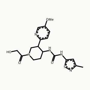 COc1ccc(C2CN(C(=O)CO)CCC2NC(=O)Nc2cc(C)ns2)nc1